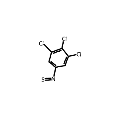 S=Nc1cc(Cl)c(Cl)c(Cl)c1